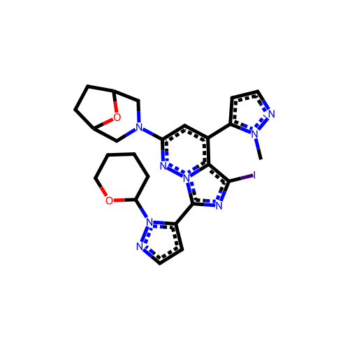 Cn1nccc1-c1cc(N2CC3CCC(C2)O3)nn2c(-c3ccnn3C3CCCCO3)nc(I)c12